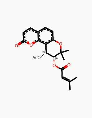 CC(=O)O[C@@H]1c2c(ccc3ccc(=O)oc23)OC(C)(C)[C@@H]1OC(=O)C=C(C)C